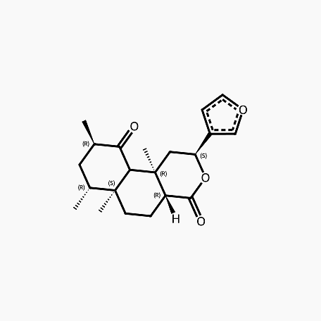 C[C@@H]1C[C@@H](C)[C@]2(C)CC[C@H]3C(=O)O[C@H](c4ccoc4)C[C@]3(C)C2C1=O